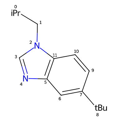 CC(C)Cn1cnc2cc(C(C)(C)C)ccc21